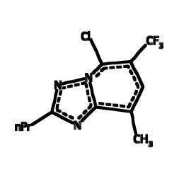 CCCc1nc2c(C)cc(C(F)(F)F)c(Cl)n2n1